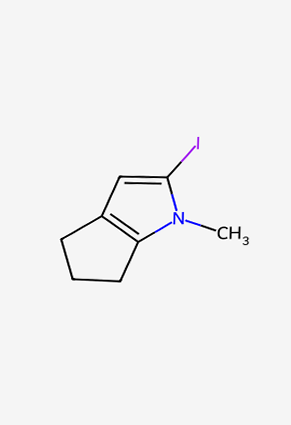 Cn1c(I)cc2c1CCC2